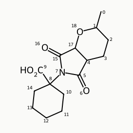 CC1CCC2C(=O)N(C3(C(=O)O)CCCCC3)C(=O)C2O1